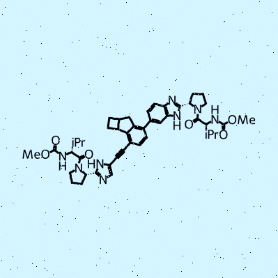 COC(=O)N[C@H](C(=O)N1CCC[C@H]1c1nc2ccc(-c3ccc(C#Cc4cnc([C@@H]5CCCN5C(=O)[C@H](NC(=O)OC)C(C)C)[nH]4)c4c3CC3CCC43)cc2[nH]1)C(C)C